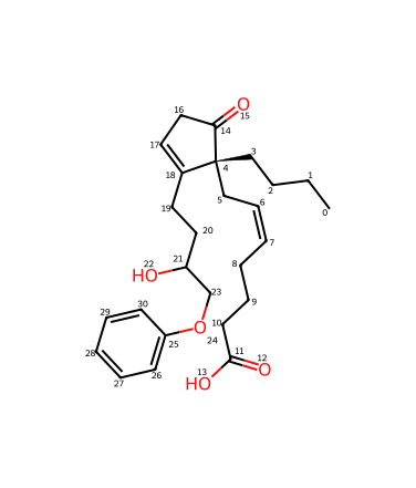 CCCC[C@]1(C/C=C\CCCC(=O)O)C(=O)CC=C1CCC(O)COc1ccccc1